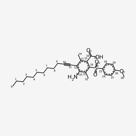 CCCCCCCCCCC#Cc1c(C)c(C(=O)O)c(S(=O)(=O)c2ccc(OC)cc2)c(C)c1N